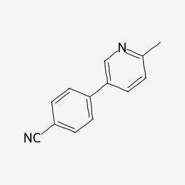 Cc1ccc(-c2ccc(C#N)cc2)cn1